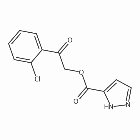 O=C(OCC(=O)c1ccccc1Cl)c1ccn[nH]1